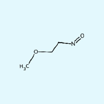 COCCN=O